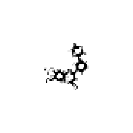 O=C1CC(c2cccc(-c3cnccn3)c2)=Nc2cc(C(F)(F)F)c(Cl)cc2N1